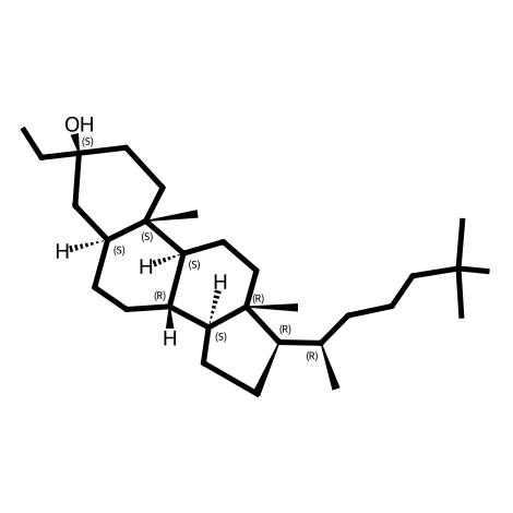 CC[C@]1(O)CC[C@@]2(C)[C@@H](CC[C@@H]3[C@@H]2CC[C@]2(C)[C@@H]([C@H](C)CCCC(C)(C)C)CC[C@@H]32)C1